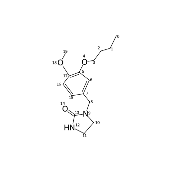 CCCCOc1cc(CN2CCNC2=O)ccc1OC